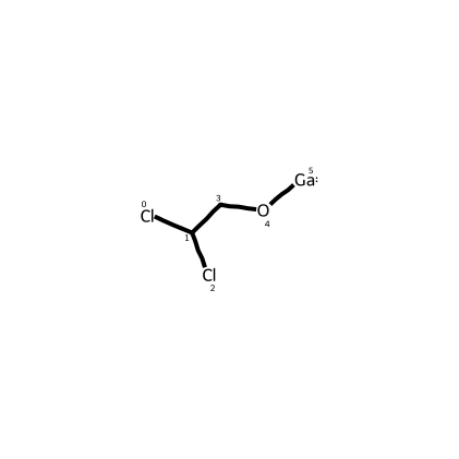 ClC(Cl)C[O][Ga]